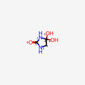 O=C1NCC(O)(O)N1